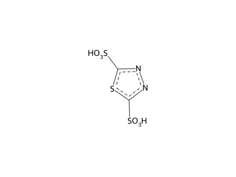 O=S(=O)(O)c1nnc(S(=O)(=O)O)s1